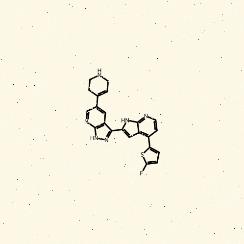 Fc1ccc(-c2ccnc3[nH]c(-c4n[nH]c5ncc(C6=CCNCC6)cc45)cc23)s1